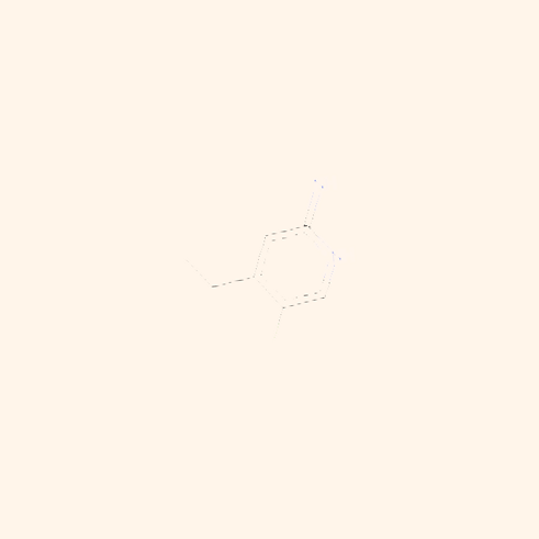 CCc1cc(=N)[nH]cc1F